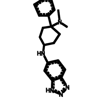 CN(C)C1(c2ccccc2)CCC(Nc2ccc3nn[nH]c3c2)CC1